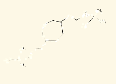 CC(C)(C)NCCN1CCCN(CCOC(C)(C)C)CC1